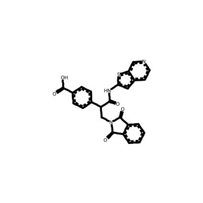 O=C(O)c1ccc(C(CN2C(=O)c3ccccc3C2=O)C(=O)Nc2cc3ccncc3s2)cc1